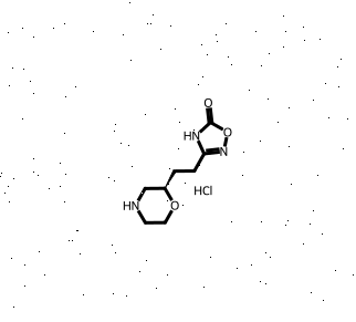 Cl.O=c1[nH]c(CC[C@@H]2CNCCO2)no1